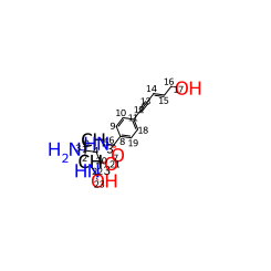 CC(C)(N)C(NC(=O)c1ccc(C#C/C=C/CO)cc1)C(=O)NO